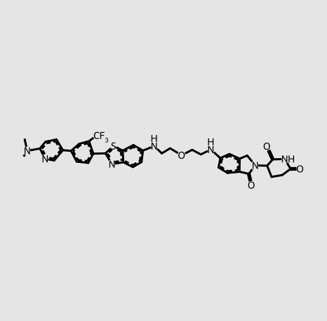 CN(C)c1ccc(-c2ccc(-c3nc4ccc(NCCOCCNc5ccc6c(c5)CN(C5CCC(=O)NC5=O)C6=O)cc4s3)c(C(F)(F)F)c2)cn1